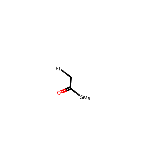 CCCC(=O)SC